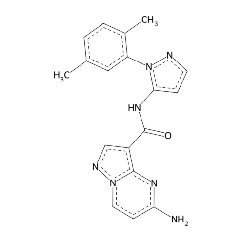 Cc1ccc(C)c(-n2nccc2NC(=O)c2cnn3ccc(N)nc23)c1